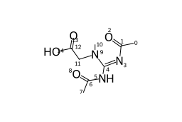 CC(=O)/N=C(/NC(C)=O)N(C)CC(=O)O